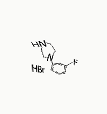 Br.Fc1cccc(N2CCNCC2)c1